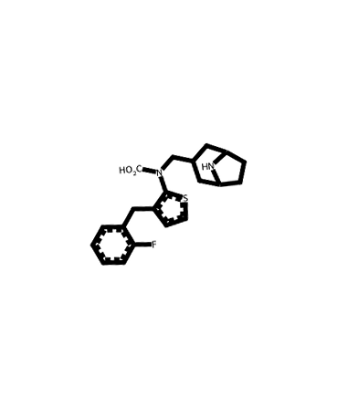 O=C(O)N(CC1CC2CCC(C1)N2)c1sccc1Cc1ccccc1F